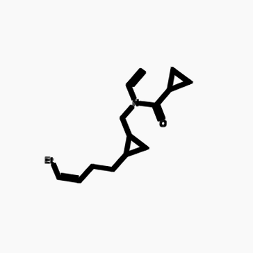 C=CN(CC1CC1CC/C=C\CC)C(=O)C1CC1